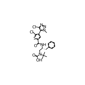 Cn1nnc(Cl)c1-c1cc(C(=O)N[C@H](Cc2ccccc2)CN(C(=O)O)C(C)(C)C)sc1Cl